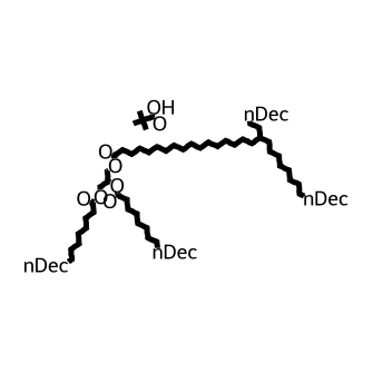 CC(C)(C)C(=O)O.CCCCCCCCCCCCCCCCCCC(CCCCCCCCCCCC)CCCCCCCCCCCCCCCCC(=O)OCC(COC(=O)CCCCCCCCCCCCCCCCC)OC(=O)CCCCCCCCCCCCCCCCC